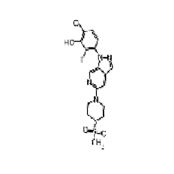 CS(=O)(=O)N1CCN(c2cc3cnn(-c4ccc(Cl)c(O)c4F)c3cn2)CC1